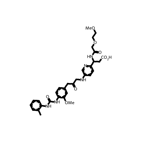 COCCOCC(=O)NC(CC(=O)O)c1ccc(NCC(=O)Cc2ccc(NC(=O)Nc3ccccc3C)c(OC)c2)cn1